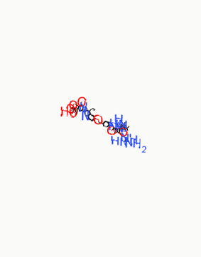 CCc1c2c(nc3ccc(OCc4ccc(NC(=O)[C@H](CCCNC(=N)N)NC(=O)[C@@H](NC)C(C)C)cc4)cc13)-c1cc3c(c(=O)n1C2)COC(=O)[C@]3(O)CC